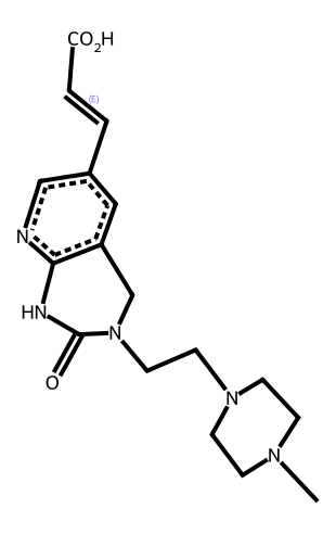 CN1CCN(CCN2Cc3cc(/C=C/C(=O)O)cnc3NC2=O)CC1